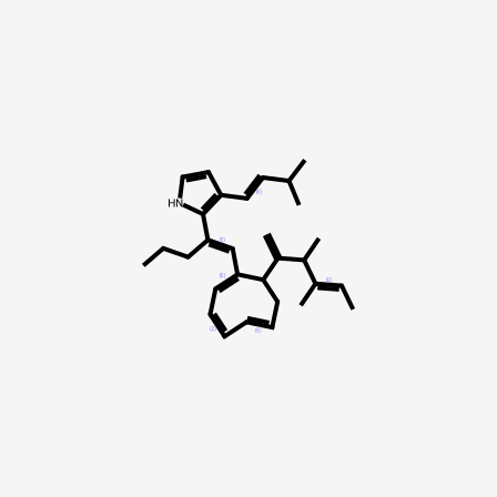 C=C(C(C)/C(C)=C/C)C1C/C=C/C=C\C=C1\C=C(/CCC)c1[nH]ccc1/C=C/C(C)C